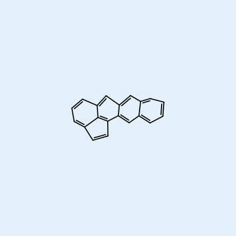 C1=Cc2c3cc4ccccc4cc3cc3cccc1c23